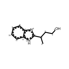 CC(CCO)c1nc2ccccc2[nH]1